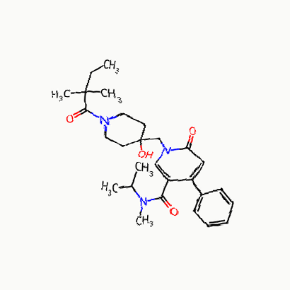 CCC(C)(C)C(=O)N1CCC(O)(Cn2cc(C(=O)N(C)C(C)C)c(-c3ccccc3)cc2=O)CC1